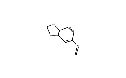 C=NC1=CC2CCSC2C=C1